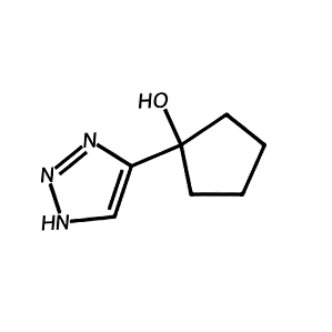 OC1(c2c[nH]nn2)CCCC1